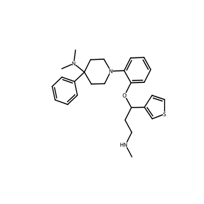 CNCCC(Oc1ccccc1N1CCC(c2ccccc2)(N(C)C)CC1)c1ccsc1